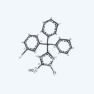 CCn1nc(C(c2ccccc2)(c2ccccc2)c2cccc(I)c2)nc1C(=O)O